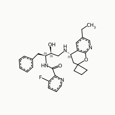 CCc1cnc2c(c1)[C@@H](NC[C@H](O)[C@H](Cc1ccccc1)NC(=O)c1ncccc1F)CC1(CCC1)O2